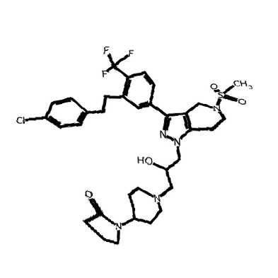 CS(=O)(=O)N1CCc2c(c(-c3ccc(C(F)(F)F)c(CCc4ccc(Cl)cc4)c3)nn2CC(O)CN2CCC(N3CCCC3=O)CC2)C1